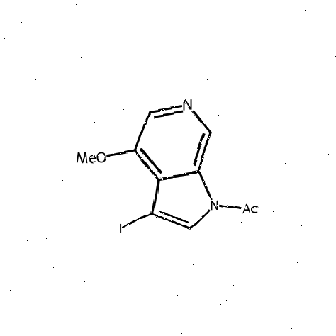 COc1cncc2c1c(I)cn2C(C)=O